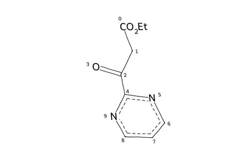 CCOC(=O)CC(=O)c1ncccn1